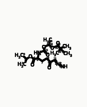 CC(C)OC(=O)C(CCC(=O)C=[N+]=N)NC(=O)O[C@@H](C)OC(=O)C(C)(C)C